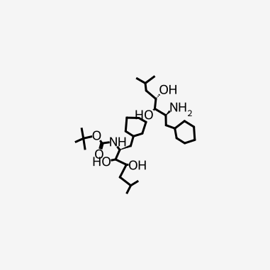 CC(C)CC(O)C(O)[C@H](CC1CCCCC1)NC(=O)OC(C)(C)C.CC(C)C[C@H](O)[C@H](O)[C@@H](N)CC1CCCCC1